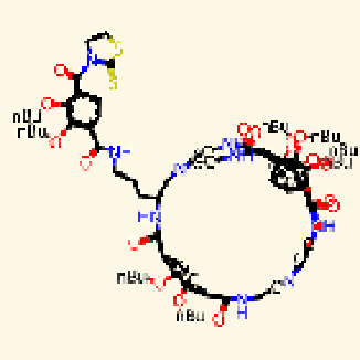 CCCCOc1c2ccc(c1OCCCC)C(=O)NCCN1CCNC(=O)c3ccc(c(OCCCC)c3OCCCC)C(=O)NCCN(CCNC2=O)CCNC(=O)c2ccc(c(OCCCC)c2OCCCC)C(=O)NC(CCCNC(=O)c2ccc(C(=O)N3CCSC3=S)c(OCCCC)c2OCCCC)C1